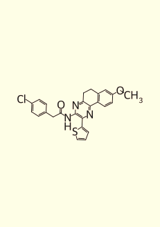 COc1ccc2c(c1)CCc1nc(NC(=O)Cc3ccc(Cl)cc3)c(-c3cccs3)nc1-2